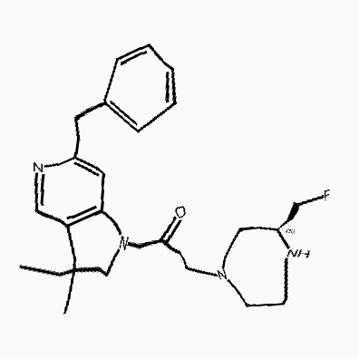 CC1(C)CN(C(=O)CN2CCN[C@H](CF)C2)c2cc(Cc3ccccc3)ncc21